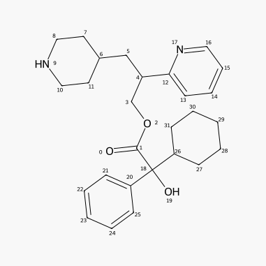 O=C(OCC(CC1CCNCC1)c1ccccn1)C(O)(c1ccccc1)C1CCCCC1